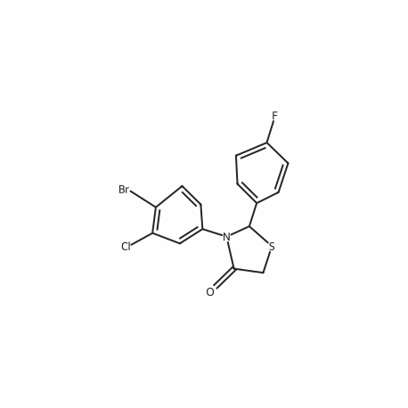 O=C1CSC(c2ccc(F)cc2)N1c1ccc(Br)c(Cl)c1